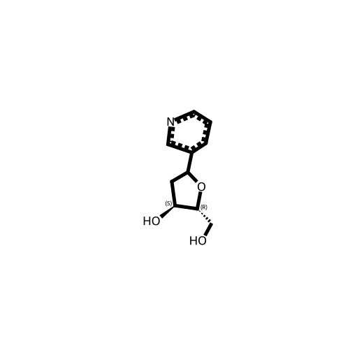 OC[C@H]1OC(c2cccnc2)C[C@@H]1O